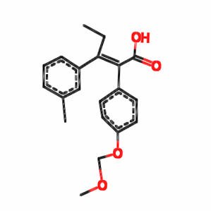 CC/C(=C(\C(=O)O)c1ccc(OCOC)cc1)c1cccc(C)c1